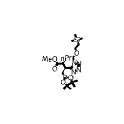 CCC[C@H](C(=O)OC)[C@H](CB1OC(C)(C)C(C)(C)O1)c1nnnn1COCC[Si](C)(C)C